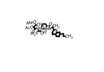 C/C=C/c1ccc2ccc([C@@H](C)NC(=O)[C@@H]3CCCN(C(=O)[C@H](C)NC(=O)[C@@H](OC(C)=O)[C@H](C)OC)N3)nc2c1